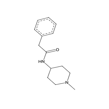 CN1CCC(NC(=O)Cc2ccccc2)CC1